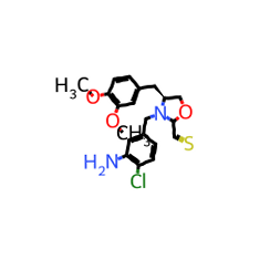 COc1ccc(C[C@H]2COC(C=S)N2Cc2ccc(Cl)c(N)c2)cc1OC